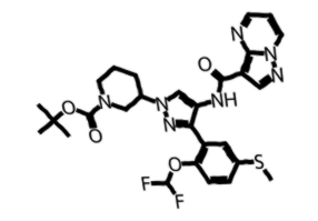 CSc1ccc(OC(F)F)c(-c2nn(C3CCCN(C(=O)OC(C)(C)C)C3)cc2NC(=O)c2cnn3cccnc23)c1